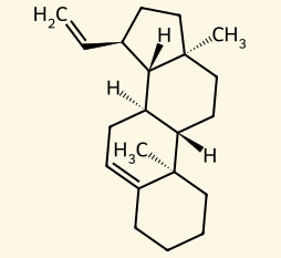 C=C[C@H]1CC[C@@]2(C)CC[C@H]3[C@@H](CC=C4CCCC[C@@]43C)[C@H]12